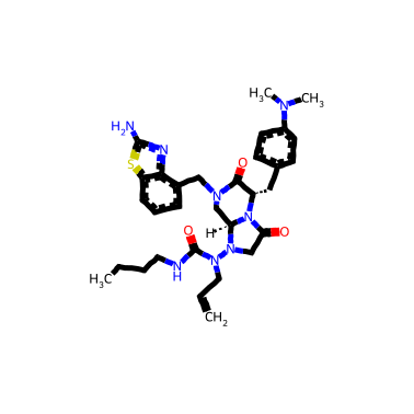 C=CCN(C(=O)NCCCC)N1CC(=O)N2[C@@H](Cc3ccc(N(C)C)cc3)C(=O)N(Cc3cccc4sc(N)nc34)C[C@@H]21